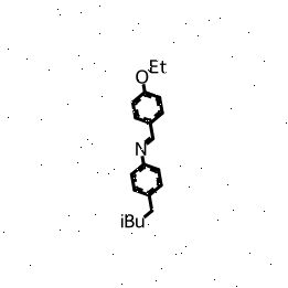 CCOc1ccc(/C=N/c2ccc(CC(C)CC)cc2)cc1